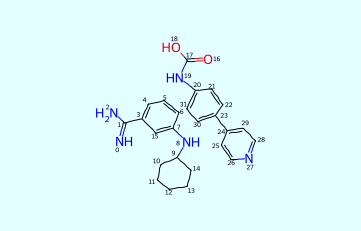 N=C(N)c1cccc(NC2CCCCC2)c1.O=C(O)Nc1ccc(-c2ccncc2)cc1